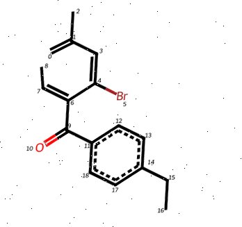 C=C(C)/C=C(Br)\C(=C/C)C(=O)c1ccc(CC)cc1